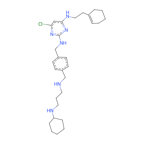 Clc1cc(NCCC2=CCCCC2)nc(NCc2ccc(CNCCCNC3CCCCC3)cc2)n1